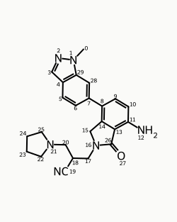 Cn1ncc2ccc(-c3ccc(N)c4c3CN(CC(C#N)CN3CCCC3)C4=O)cc21